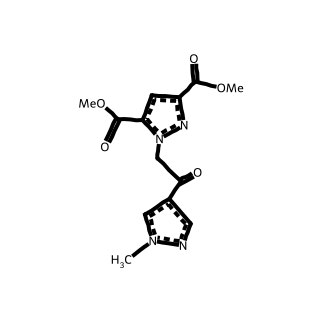 COC(=O)c1cc(C(=O)OC)n(CC(=O)c2cnn(C)c2)n1